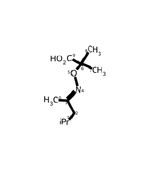 C/C(CC(C)C)=N\OC(C)(C)C(=O)O